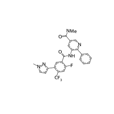 CNC(=O)c1cnc(-c2ccccc2)c(NC(=O)c2cc(-c3ccn(C)n3)c(C(F)(F)F)cc2F)c1